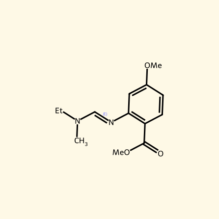 CCN(C)/C=N/c1cc(OC)ccc1C(=O)OC